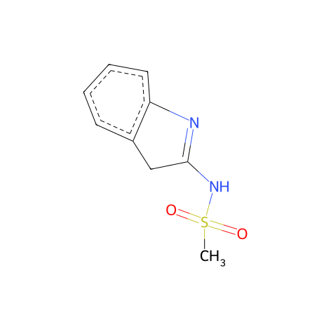 CS(=O)(=O)NC1=Nc2ccccc2C1